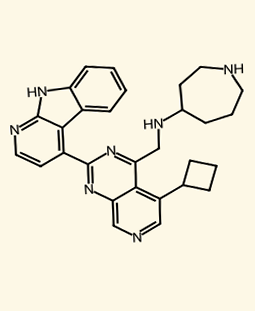 c1ccc2c(c1)[nH]c1nccc(-c3nc(CNC4CCCNCC4)c4c(C5CCC5)cncc4n3)c12